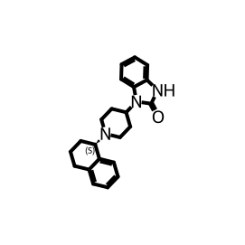 O=c1[nH]c2ccccc2n1C1CCN([C@H]2CCCc3ccccc32)CC1